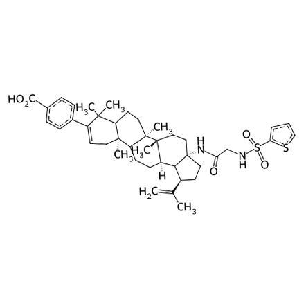 C=C(C)[C@@H]1CC[C@]2(NC(=O)CNS(=O)(=O)c3cccs3)CC[C@]3(C)[C@H](CCC4[C@@]5(C)CC=C(c6ccc(C(=O)O)cc6)C(C)(C)C5CC[C@]43C)C12